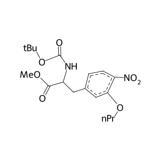 CCCOc1cc(CC(NC(=O)OC(C)(C)C)C(=O)OC)ccc1[N+](=O)[O-]